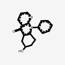 O=c1c2c(n(-c3ccccc3)c3ncccc13)CCC(O)C2